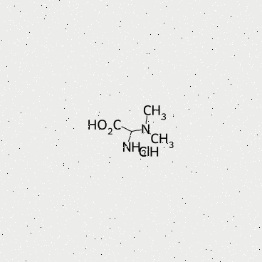 CN(C)C(N)C(=O)O.Cl